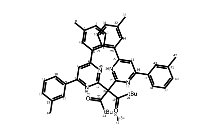 Cc1cccc(-c2cc(-c3cccc(C)c3)nc(C(C(=O)C(C)(C)C)(C(=O)C(C)(C)C)c3nc(-c4cccc(C)c4)cc(-c4cccc(C)c4)n3)n2)c1.[Ir+3]